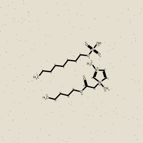 CCCCCCCCOS(=O)(=O)O.CCCCCOC(=O)C[N+]1(C)C=C[N+](C)=C1